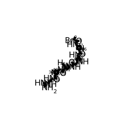 C=C(Br)C(=O)Nc1cc(C(=O)Nc2c[nH]c(CC(=O)Nc3cc(C(=O)Nc4cc(C(=O)NCCNC(=N)N)n(C)c4)n(C)c3)c2)n(C)c1